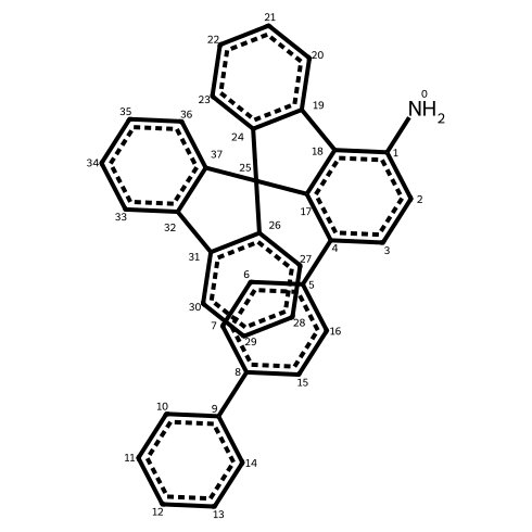 Nc1ccc(-c2ccc(-c3ccccc3)cc2)c2c1-c1ccccc1C21c2ccccc2-c2ccccc21